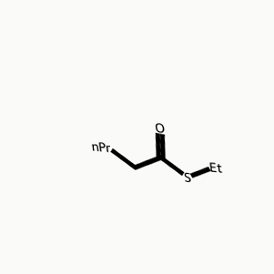 [CH2]CSC(=O)CCCC